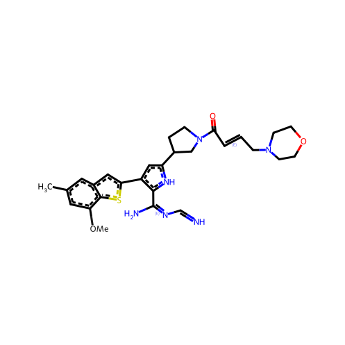 COc1cc(C)cc2cc(-c3cc(C4CCN(C(=O)/C=C/CN5CCOCC5)C4)[nH]c3/C(N)=N\C=N)sc12